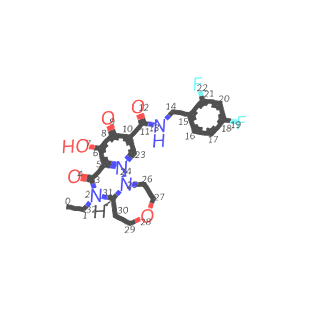 CCN1C(=O)c2c(O)c(=O)c(C(=O)NCc3ccc(F)cc3F)cn2N2CCOCC[C@@H]12